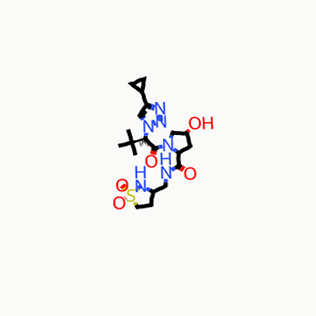 CC(C)(C)[C@H](C(=O)N1CC(O)CC1C(=O)NCC1CCS(=O)(=O)N1)n1cc(C2CC2)nn1